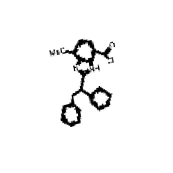 COc1ccc(C(=O)Cl)c2[nH]c(C(Cc3ccccc3)c3ccccc3)nc12